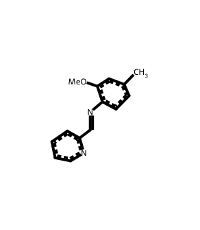 COc1cc(C)ccc1/N=C/c1ccccn1